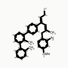 COc1ccc(C/C(C)=C\C(=C/CI)c2ccc(-c3cccc(-c4ccccc4C)c3C)cc2)c(C(C)=O)c1